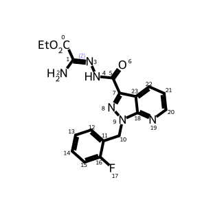 CCOC(=O)/C(N)=N/NC(=O)c1nn(Cc2ccccc2F)c2ncccc12